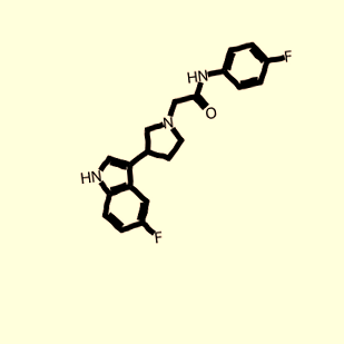 O=C(CN1CCC(c2c[nH]c3ccc(F)cc23)C1)Nc1ccc(F)cc1